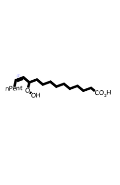 CCCCC/C=C\C(CCCCCCCCCC(=O)O)OO